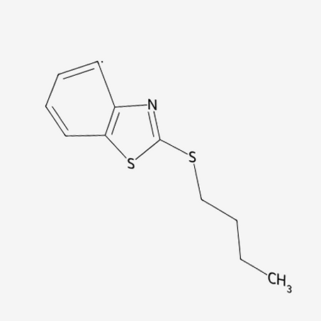 CCCCSc1nc2[c]cccc2s1